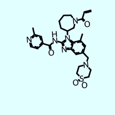 C=CC(=O)N1CCCCC(n2c(NC(=O)c3ccnc(C)c3)nc3cc(CN4CCS(=O)(=O)CC4)cc(C)c32)C1